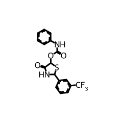 O=C(Nc1ccccc1)OC1SC(c2cccc(C(F)(F)F)c2)NC1=O